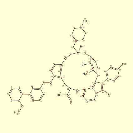 COc1ccccc1-c1nccc(COc2ccc3cc2CC(C(=O)O)Oc2nccn4c(Cl)c(-c5ccc(F)cc5)c(c24)-c2ccc(c(Cl)c2C)O[C@H](CN2CCN(C)CC2)CO3)n1